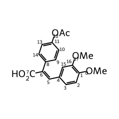 COc1ccc(C=C(C(=O)O)c2ccc(OC(C)=O)cc2)cc1OC